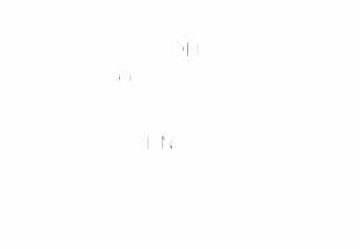 O=C(O)C1CC2(CCCC2)N1